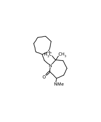 CNC1CCCC(C)(C)N(CC2CCCCCS2)C1=O